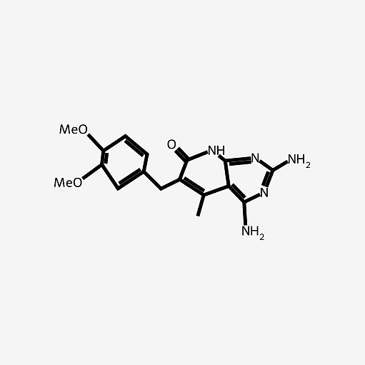 COc1ccc(Cc2c(C)c3c(N)nc(N)nc3[nH]c2=O)cc1OC